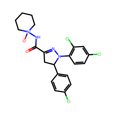 O=C(N[N+]1([O-])CCCCC1)C1=NN(c2ccc(Cl)cc2Cl)C(c2ccc(Cl)cc2)C1